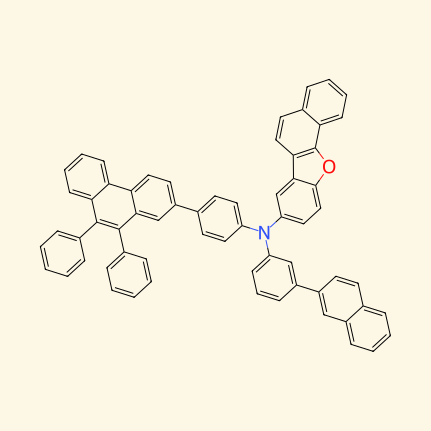 c1ccc(-c2c(-c3ccccc3)c3cc(-c4ccc(N(c5cccc(-c6ccc7ccccc7c6)c5)c5ccc6oc7c8ccccc8ccc7c6c5)cc4)ccc3c3ccccc23)cc1